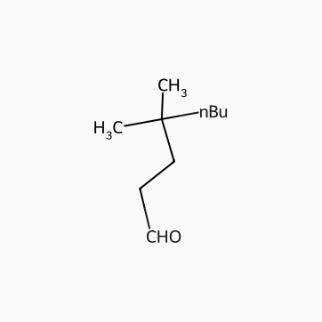 CCCCC(C)(C)CCC=O